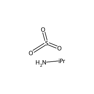 CC(C)N.O=S(=O)=O